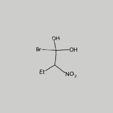 CCC([N+](=O)[O-])C(O)(O)Br